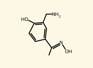 CC(=NO)c1ccc(O)c(CN)c1